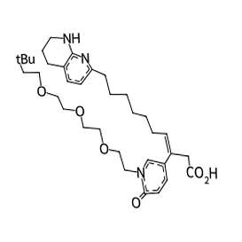 CC(C)(C)CCOCCOCCOCCn1cc(C(=CCCCCCCc2ccc3c(n2)NCCC3)CC(=O)O)ccc1=O